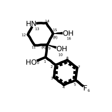 OC(c1ccc(F)cc1)[C@]1(O)CCNC[C@H]1O